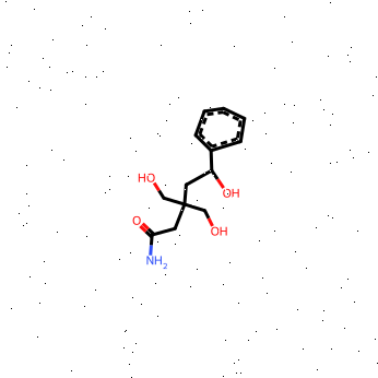 NC(=O)CC(CO)(CO)CC(O)c1ccccc1